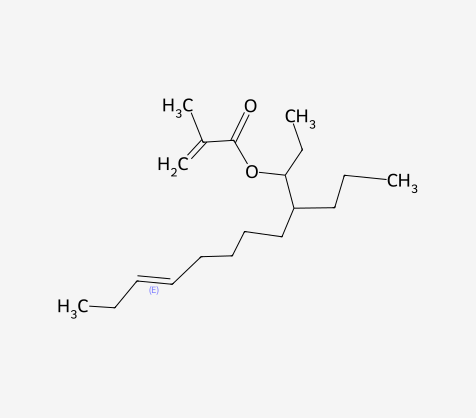 C=C(C)C(=O)OC(CC)C(CCC)CCCC/C=C/CC